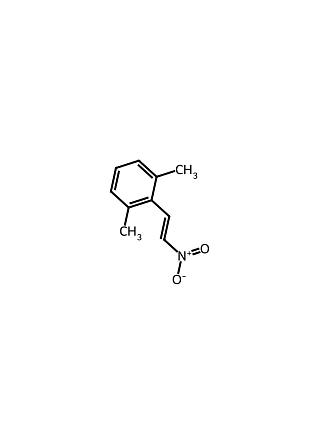 Cc1cccc(C)c1C=C[N+](=O)[O-]